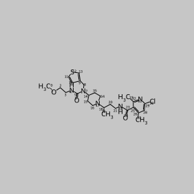 COCCNC(=O)N(Cc1ccsc1)C1CCN([C@H](C)CCNC(=O)c2c(C)cc(Cl)nc2C)CC1